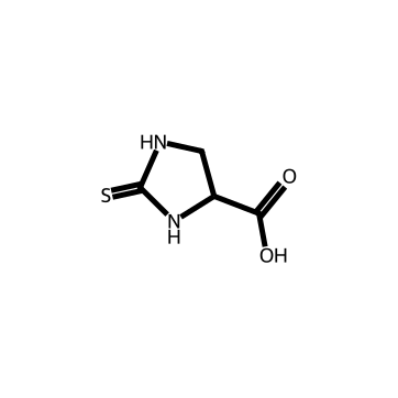 O=C(O)C1CNC(=S)N1